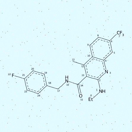 CCNc1nc2cc(C(F)(F)F)ccc2c(C)c1C(=O)NCc1ccc(F)cc1